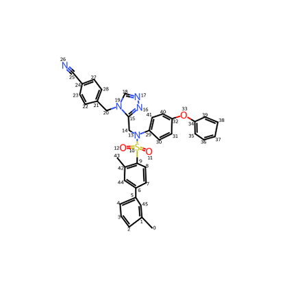 Cc1cccc(-c2ccc(S(=O)(=O)N(Cc3nncn3Cc3ccc(C#N)cc3)c3ccc(Oc4ccccc4)cc3)c(C)c2)c1